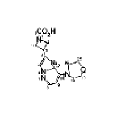 O=C(O)N1CC(c2cn3nccc(N4CCOCC4)c3n2)C1